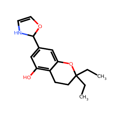 CCC1(CC)CCc2c(O)cc(C3NC=CO3)cc2O1